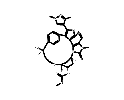 COC(=O)N[C@H]1C[C@H]2C[C@H]1OCC[C@@](C)(O)c1ccc(cc1)-c1c(-c3cn(C)nc3F)[nH]c3ncc4c(c13)n2c(=O)n4C